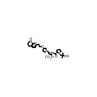 CC(C)(O)CN1CCC[C@H]1C(=O)NC(CCN1CC[C@@H](OCCc2ccc3c(n2)NCCC3)C1)C(=O)O